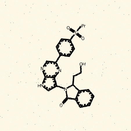 CC(C)S(=O)(=O)c1ccc(-c2cnc3[nH]cc(N4C(=O)c5ccccc5C4CCO)c3n2)cc1